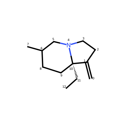 C=C1CCN2CC(C)CC[C@]12CC